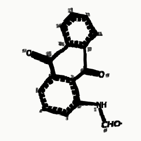 O=[C]Nc1cccc2c1C(=O)c1ccccc1C2=O